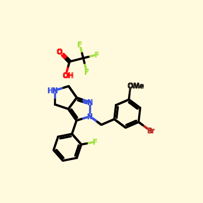 COc1cc(Br)cc(Cn2nc3c(c2-c2ccccc2F)CNC3)c1.O=C(O)C(F)(F)F